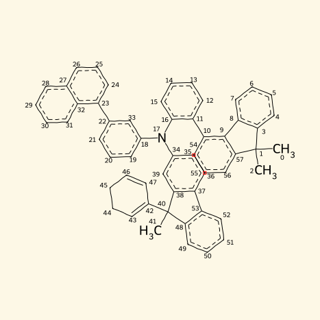 CC1(C)c2ccccc2-c2c(-c3ccccc3N(c3cccc(-c4cccc5ccccc45)c3)c3ccc4c(c3)C(C)(C3=CCCC=C3)c3ccccc3-4)cccc21